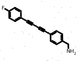 NCc1ccc(C#CC#Cc2ccc(F)cc2)cc1